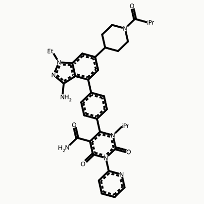 CCn1nc(N)c2c(-c3ccc(-c4c(C(N)=O)c(=O)n(-c5ccccn5)c(=O)n4C(C)C)cc3)cc(C3CCN(C(=O)C(C)C)CC3)cc21